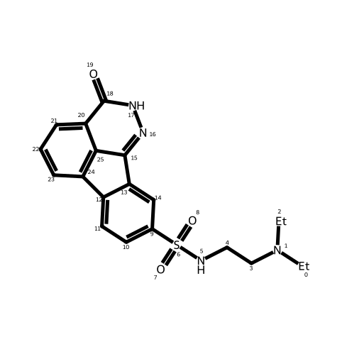 CCN(CC)CCNS(=O)(=O)c1ccc2c(c1)-c1n[nH]c(=O)c3cccc-2c13